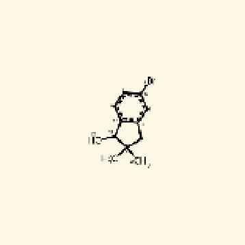 CC1(C)Cc2cc(Br)ccc2C1O